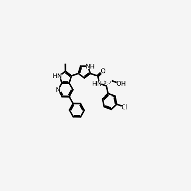 Cc1[nH]c2ncc(-c3ccccc3)cc2c1-c1c[nH]c(C(=O)N[C@H](CO)c2cccc(Cl)c2)c1